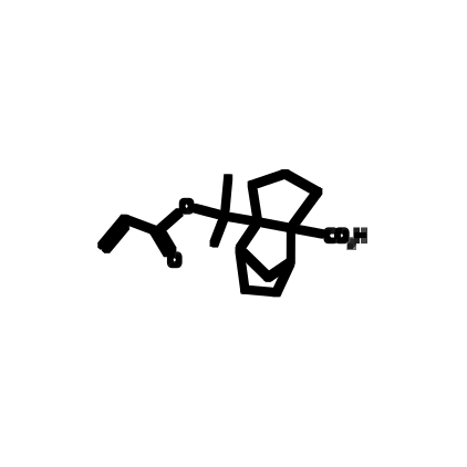 C=CC(=O)OC(C)(C)C12CCCC1(C(=O)O)C1CCC2C1